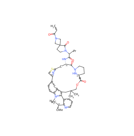 C=CC(=O)N1CC2(CCN(C(C(=O)N[C@H]3Cc4nc(cs4)-c4ccc5c(c4)c(c(-c4cccnc4[C@H](C)OC)n5C)CC(C)(C)COC(=O)[C@@H]4CCCN(N4)C3=O)C(C)C)C2=O)C1